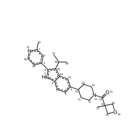 Cc1cc(-c2[nH]c3ccc(C4CCN(C(=O)C5(C)COC5)CC4)cc3c2C(C)C)ccn1